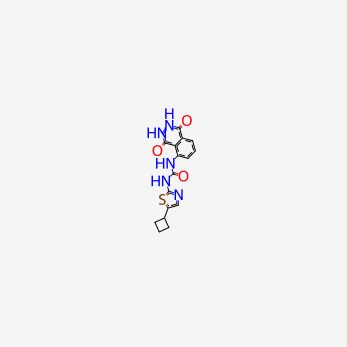 O=C(Nc1ncc(C2CCC2)s1)Nc1cccc2c(=O)[nH][nH]c(=O)c12